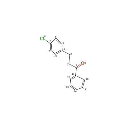 O=C(CCc1ccc(Cl)cc1)c1ccccc1